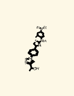 CCN(CC)c1ccc(NC2=NC(c3ccc(-n4cc(C(C)O)nn4)cc3)CS2)c(C)c1